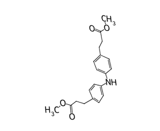 COC(=O)CCc1ccc(Nc2ccc(CCC(=O)OC)cc2)cc1